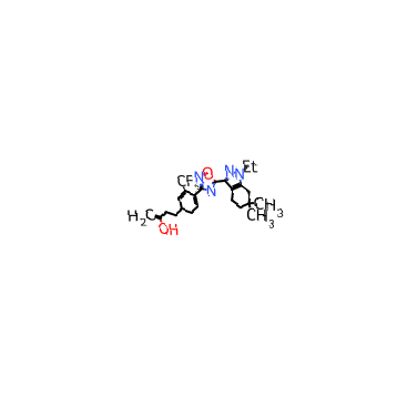 C=C(O)CCC1C=C(C(F)(F)F)C(c2noc(-c3nn(CC)c4c3CCC(C)(C)C4)n2)=CC1